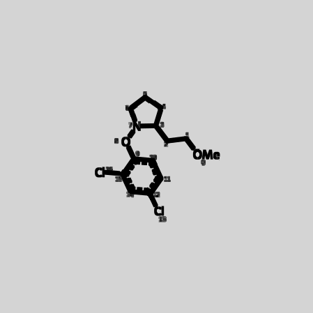 COCCC1CCCN1Oc1ccc(Cl)cc1Cl